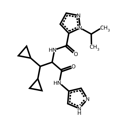 CC(C)n1nccc1C(=O)NC(C(=O)Nc1cn[nH]c1)C(C1CC1)C1CC1